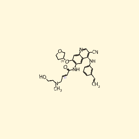 C=Cc1cccc(Nc2c(C#N)cnc3cc(O[C@H]4CCOC4)c(NC(=O)/C=C/CN(C)CCO)cc23)c1